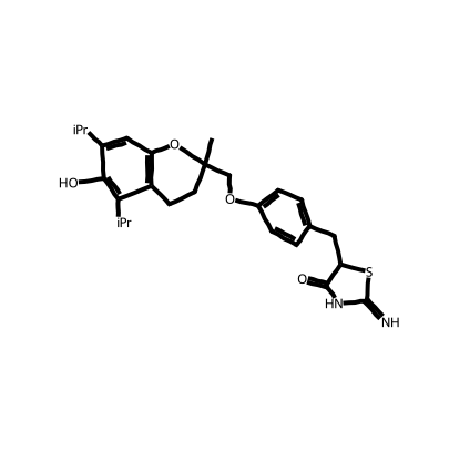 CC(C)c1cc2c(c(C(C)C)c1O)CCC(C)(COc1ccc(CC3SC(=N)NC3=O)cc1)O2